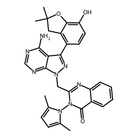 Cc1ccc(C)n1-n1c(Cn2nc(-c3ccc(O)c4c3CC(C)(C)O4)c3c(N)ncnc32)nc2ccccc2c1=O